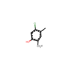 Cc1cc(C(=O)O)c(O)cc1Cl